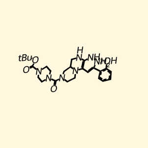 CC(C)(C)OC(=O)N1CCN(C(=O)N2CCN3C(/C=C(\N)c4ccccc4O)=C(N)NCC3C2)CC1